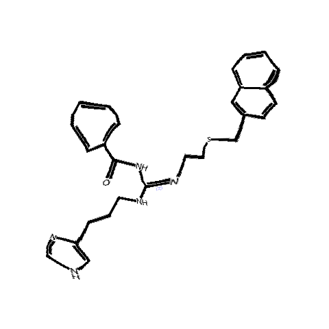 O=C(N/C(=N\CCSCc1ccc2ccccc2c1)NCCCc1c[nH]cn1)c1ccccc1